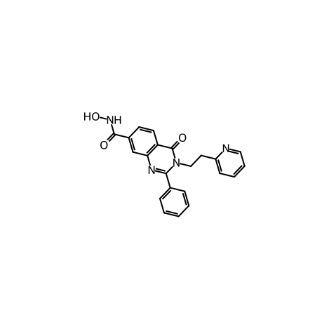 O=C(NO)c1ccc2c(=O)n(CCc3ccccn3)c(-c3ccccc3)nc2c1